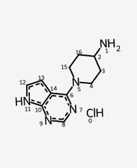 Cl.NC1CCN(c2ncnc3[nH]ccc23)CC1